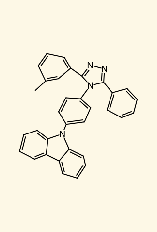 Cc1cccc(-c2nnc(-c3ccccc3)n2-c2ccc(-n3c4ccccc4c4ccccc43)cc2)c1